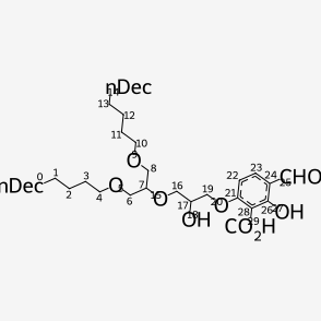 CCCCCCCCCCCCCCOCC(COCCCCCCCCCCCCCC)OCC(O)COc1ccc(C=O)c(O)c1C(=O)O